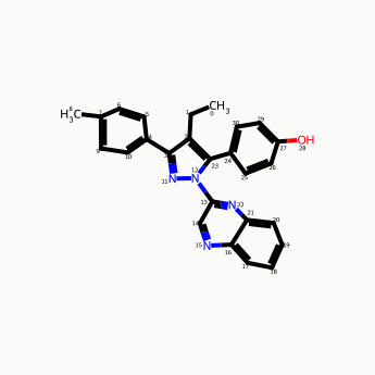 CCc1c(-c2ccc(C)cc2)nn(-c2cnc3ccccc3n2)c1-c1ccc(O)cc1